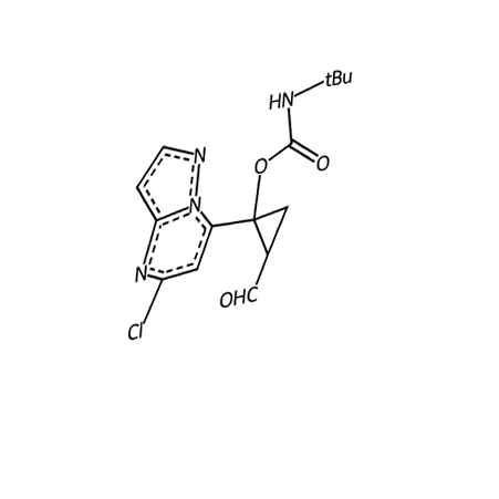 CC(C)(C)NC(=O)OC1(c2cc(Cl)nc3ccnn23)CC1C=O